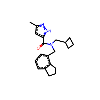 Cc1cc(C(=O)N(Cc2cccc3c2CCC3)CC2CCC2)[nH]n1